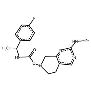 CC(C)Nc1ncc2c(n1)CN(OC(=O)N[C@H](C)c1ccc(F)cc1)CC2